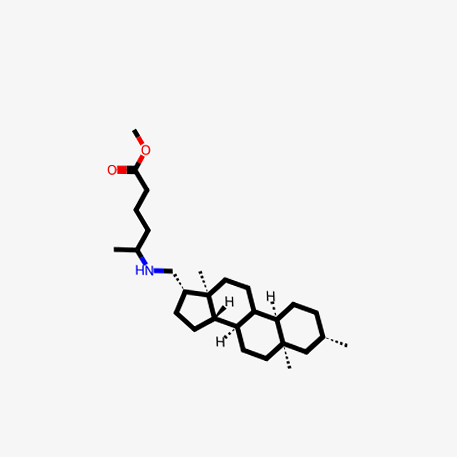 COC(=O)CCCC(C)NC[C@H]1CC[C@H]2[C@@H]3CC[C@]4(C)C[C@@H](C)CC[C@@H]4C3CC[C@]12C